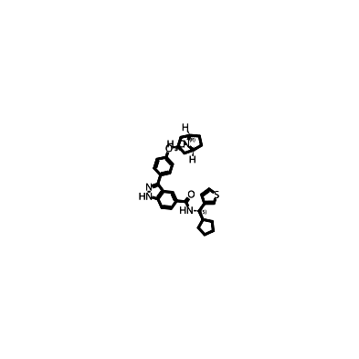 CN1[C@@H]2CC[C@H]1C[C@@H](Oc1ccc(-c3n[nH]c4ccc(C(=O)N[C@H](c5ccsc5)C5CCCC5)cc34)cc1)C2